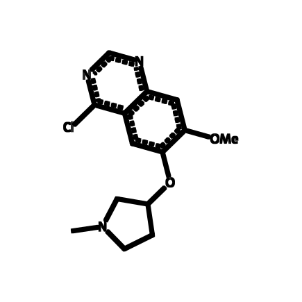 COc1cc2ncnc(Cl)c2cc1OC1CCN(C)C1